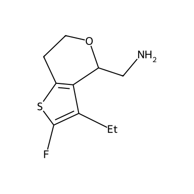 CCc1c(F)sc2c1C(CN)OCC2